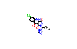 CC(n1cncn1)n1nc(O)c2[nH]c3cc(Cl)ccc3c(=O)c2c1=O